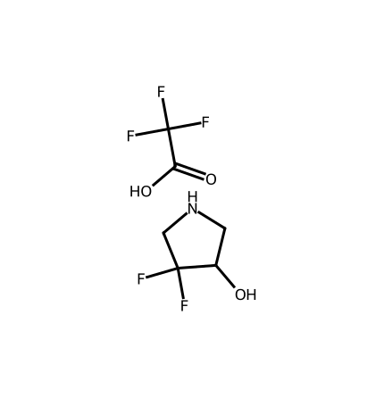 O=C(O)C(F)(F)F.OC1CNCC1(F)F